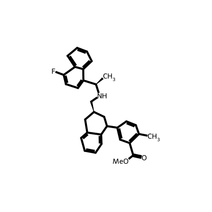 COC(=O)c1cc(C2C[C@H](CN[C@H](C)c3ccc(F)c4ccccc34)Cc3ccccc32)ccc1C